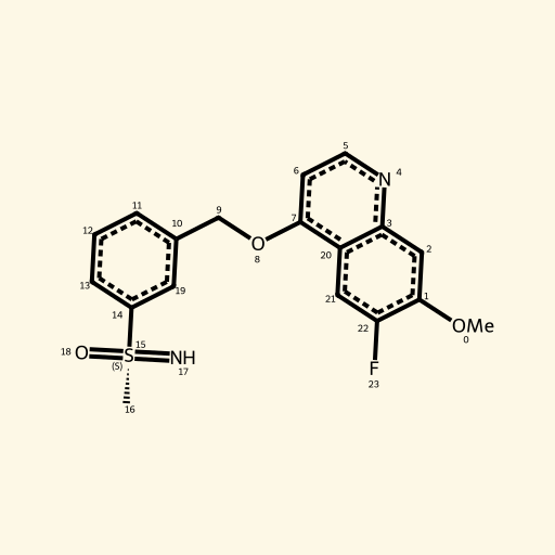 COc1cc2nccc(OCc3cccc([S@@](C)(=N)=O)c3)c2cc1F